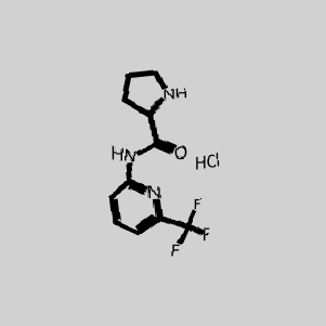 Cl.O=C(Nc1cccc(C(F)(F)F)n1)C1CCCN1